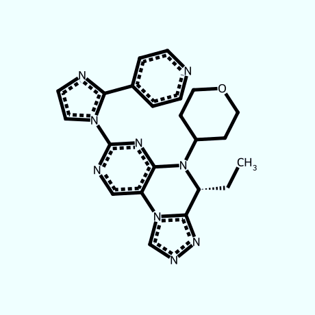 CC[C@@H]1c2nncn2-c2cnc(-n3ccnc3-c3ccncc3)nc2N1C1CCOCC1